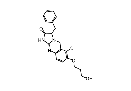 O=C1NC2=Nc3ccc(OCCCO)c(Cl)c3CN2C1Cc1ccccc1